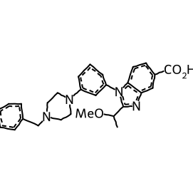 COC(C)c1nc2cc(C(=O)O)ccc2n1-c1cccc(N2CCN(Cc3ccccc3)CC2)c1